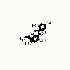 C=CC(C)(C)c1cc(-c2coc3cc(O)cc(O)c3c2=O)c(O)cc1O